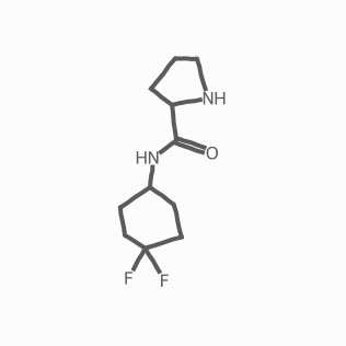 O=C(NC1CCC(F)(F)CC1)C1CCCN1